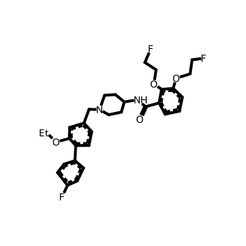 CCOc1cc(CN2CCC(NC(=O)c3cccc(OCCF)c3OCCF)CC2)ccc1-c1ccc(F)cc1